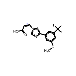 COc1cc(-c2ncn(/C=C\C(=O)O)n2)cc(C(F)(F)F)c1